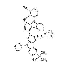 CC(C)(C)c1ccc2c(c1)c1ccc(-c3cccc4c3c3cc(C(C)(C)C)ccc3n4-c3cccc(C#N)c3C#N)cc1n2-c1ccccc1